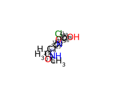 CC(=O)NC(C)/C(C)=C/c1ccc(Oc2ccc(O)cc2Cl)nc1